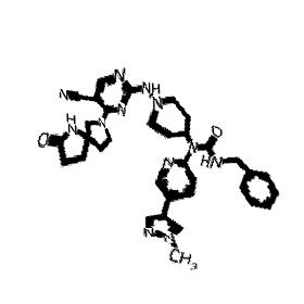 Cn1cc(-c2ccc(N(C(=O)NCc3ccccc3)C3CCN(Nc4ncc(C#N)c(N5CCC6(CCC(=O)N6)C5)n4)CC3)nc2)cn1